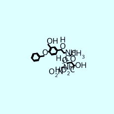 CC(C)(NC[C@H](O)c1ccc(OCc2ccccc2)c(CO)c1)OC(C(=O)NC[N+](=O)[O-])C(O)C(=O)O